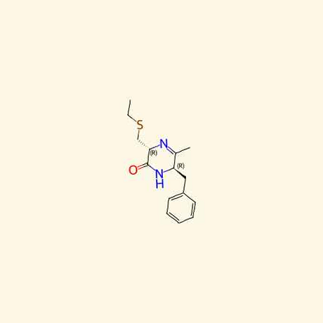 CCSC[C@@H]1N=C(C)[C@@H](Cc2ccccc2)NC1=O